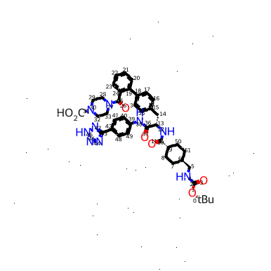 CC(C)(C)OC(=O)NC[C@H]1CC[C@H](C(=O)N[C@@H](Cc2ccc(-c3ccccc3C(=O)N3CCN(C(=O)O)CC3)cc2)C(=O)Nc2ccc(-c3nn[nH]n3)cc2)CC1